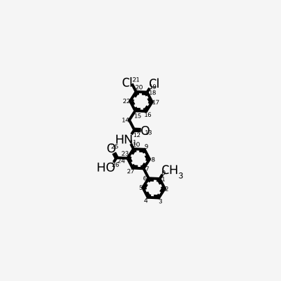 Cc1ccccc1-c1ccc(NC(=O)Cc2ccc(Cl)c(Cl)c2)c(C(=O)O)c1